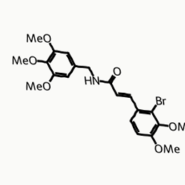 COc1cc(CNC(=O)/C=C/c2ccc(OC)c(OC)c2Br)cc(OC)c1OC